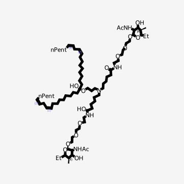 CCCCC/C=C\C/C=C\CCCCCCCCC(O)(CCCCCCCC/C=C\C/C=C\CCCCC)OCCCN(CCCCCC(=O)NCCOCCOCCO[C@@H]1OC(CC)[C@H](C)C(O)C1NC(C)=O)CCCCCC(O)NCCOCCOCCO[C@@H]1OC(CC)[C@H](C)C(O)C1NC(C)=O